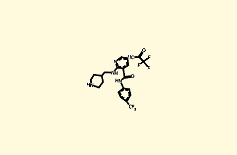 O=C(Nc1ccc(C(F)(F)F)cc1)c1cccnc1NCC1CCNCC1.O=C(O)C(F)(F)F